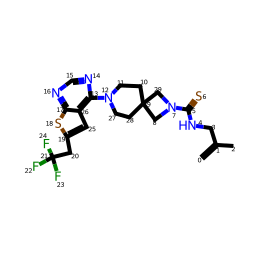 C=C(C)CNC(=S)N1CC2(CCN(c3ncnc4sc(CC(F)(F)F)cc34)CC2)C1